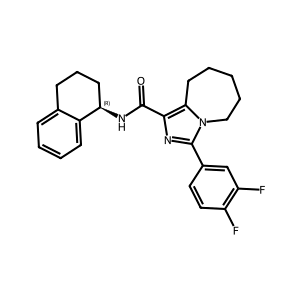 O=C(N[C@@H]1CCCc2ccccc21)c1nc(-c2ccc(F)c(F)c2)n2c1CCCCC2